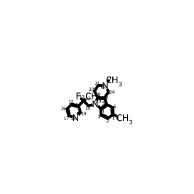 Cc1ccc2c(c1)c1c(n2CC(C)(F)c2cccnc2)CCN(C)C1